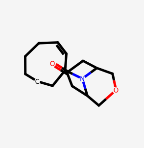 O=C1CC2COCC(C1)N2C1/C=C\CCCCC1